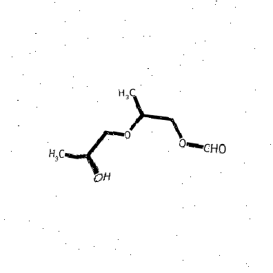 CC(O)COC(C)COC=O